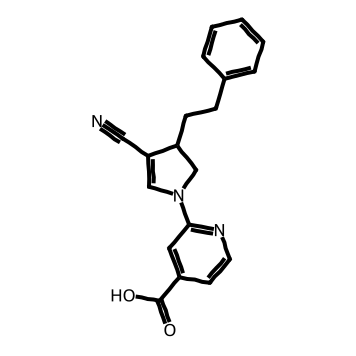 N#CC1=CN(c2cc(C(=O)O)ccn2)CC1CCc1ccccc1